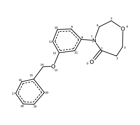 O=C1CCOCCN1c1cccc(OCc2ccccc2)c1